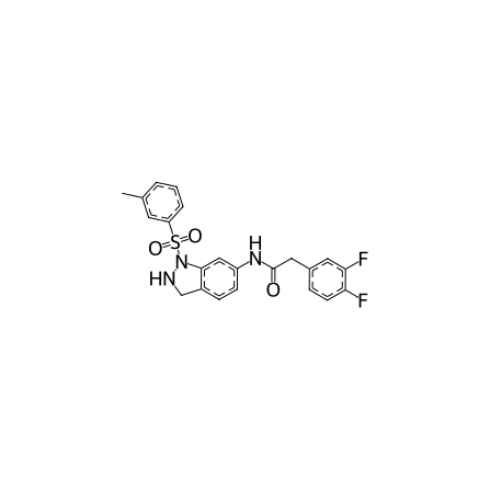 Cc1cccc(S(=O)(=O)N2NCc3ccc(NC(=O)Cc4ccc(F)c(F)c4)cc32)c1